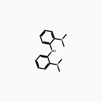 CN(C)c1ccccc1Nc1ccccc1N(C)C